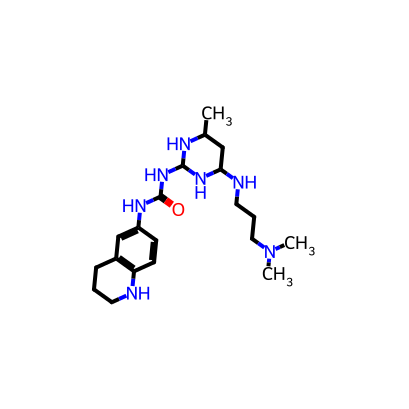 CC1CC(NCCCN(C)C)NC(NC(=O)Nc2ccc3c(c2)CCCN3)N1